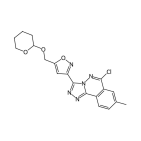 Cc1ccc2c(c1)c(Cl)nn1c(-c3cc(COC4CCCCO4)on3)nnc21